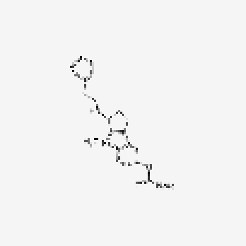 CNC(=O)Oc1ccc2c(c1)c1c(n2C)C(NCCc2ccccc2)CC1